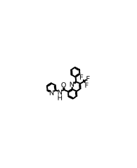 O=C(Nc1ccccn1)c1cccc2cc(C(F)(F)F)c(-c3ccccc3)nc12